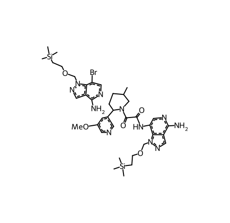 COc1cncc(C2CCC(C)CN2C(=O)C(=O)Nc2cnc(N)c3cnn(COCC[Si](C)(C)C)c23)c1.C[Si](C)(C)CCOCn1ncc2c(N)ncc(Br)c21